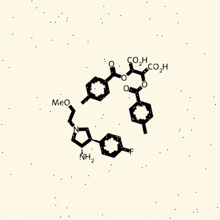 COCCN1C[C@@H](N)[C@H](c2ccc(F)cc2)C1.Cc1ccc(C(=O)OC(C(=O)O)C(OC(=O)c2ccc(C)cc2)C(=O)O)cc1